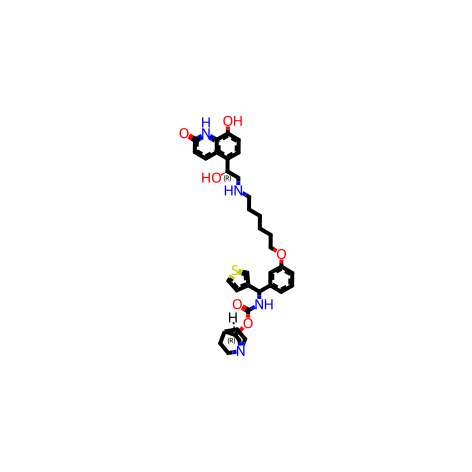 O=C(NC(c1ccsc1)c1cccc(OCCCCCCNC[C@H](O)c2ccc(O)c3[nH]c(=O)ccc23)c1)O[C@H]1CN2CCC1CC2